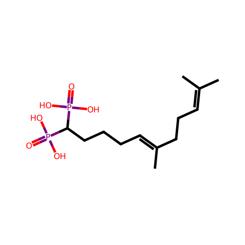 CC(C)=CCCC(C)=CCCCC(P(=O)(O)O)P(=O)(O)O